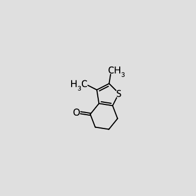 Cc1sc2c(c1C)C(=O)CCC2